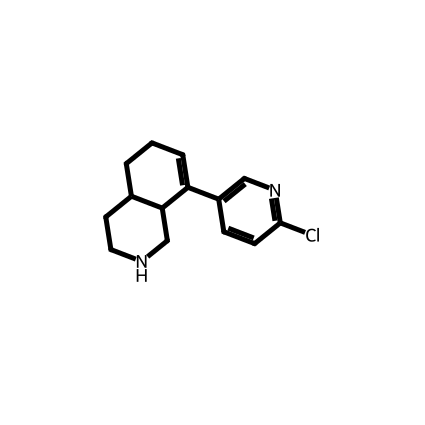 Clc1ccc(C2=CCCC3CCNCC23)cn1